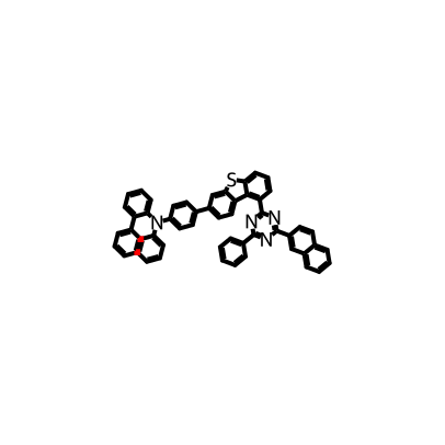 c1ccc(-c2nc(-c3ccc4ccccc4c3)nc(-c3cccc4sc5cc(-c6ccc(N(c7ccccc7)c7ccccc7-c7ccccc7)cc6)ccc5c34)n2)cc1